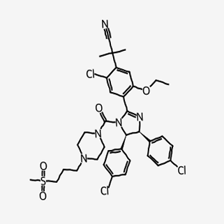 CCOc1cc(C(C)(C)C#N)c(Cl)cc1C1=N[C@@H](c2ccc(Cl)cc2)[C@@H](c2ccc(Cl)cc2)N1C(=O)N1CCN(CCCS(C)(=O)=O)CC1